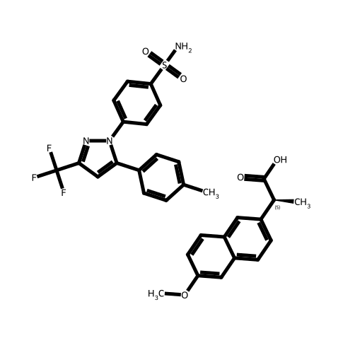 COc1ccc2cc([C@H](C)C(=O)O)ccc2c1.Cc1ccc(-c2cc(C(F)(F)F)nn2-c2ccc(S(N)(=O)=O)cc2)cc1